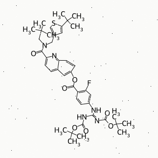 CC(C)(C)CN(Cc1csc(C(C)(C)C)c1)C(=O)c1ccc2cc(OC(=O)c3ccc(N/C(=N\C(=O)OC(C)(C)C)NC(=O)OC(C)(C)C)cc3F)ccc2n1